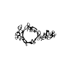 CCn1c(-c2cc(N3CCOCC3)cnc2[C@H](C)OC)c2c3cc(c(F)cc31)-c1csc(n1)C[C@H](NC(=O)[C@H](C(C)C)N1CC[C@@]3(CCN(C(=O)[C@H](F)Cl)C3)C1=O)C(=O)N1CCC[C@H](N1)C(=O)OCC(C)(C)C2